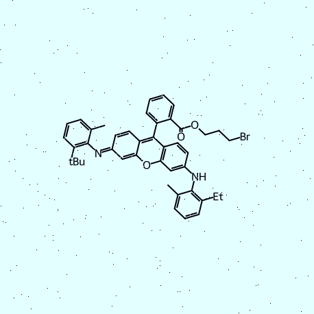 CCc1cccc(C)c1Nc1ccc2c(-c3ccccc3C(=O)OCCCBr)c3cc/c(=N\c4c(C)cccc4C(C)(C)C)cc-3oc2c1